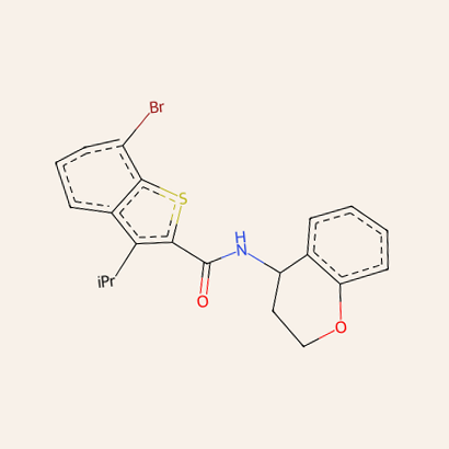 CC(C)c1c(C(=O)NC2CCOc3ccccc32)sc2c(Br)cccc12